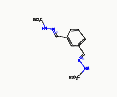 CCOC(=O)N/N=C/c1cccc(/C=N/NC(=O)OCC)c1